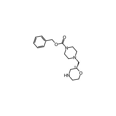 O=C(OCc1ccccc1)N1CCN(C[C@@H]2CNCCO2)CC1